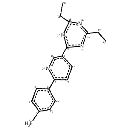 Bc1ccc(-c2ccc(-c3nc(CC)nc(CC)n3)cn2)cc1